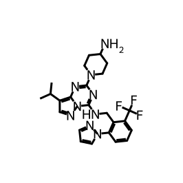 CC(C)c1cnn2c(NCc3c(-n4cccn4)cccc3C(F)(F)F)nc(N3CCC(N)CC3)nc12